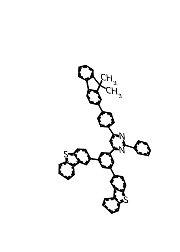 CC1(C)c2ccccc2-c2ccc(-c3ccc(-c4cc(-c5cc(-c6ccc7sc8ccccc8c7c6)cc(-c6ccc7sc8ccccc8c7c6)c5)nc(-c5ccccc5)n4)cc3)cc21